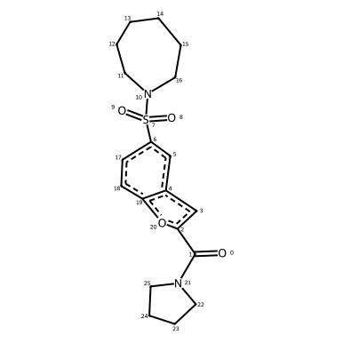 O=C(c1cc2cc(S(=O)(=O)N3CCCCCC3)ccc2o1)N1CCCC1